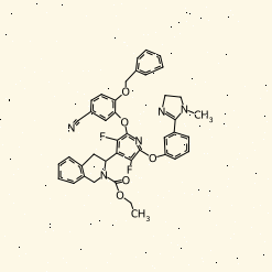 CCOC(=O)N1Cc2ccccc2CC1c1c(F)c(Oc2cccc(C3=NCCN3C)c2)nc(Oc2cc(C#N)ccc2OCc2ccccc2)c1F